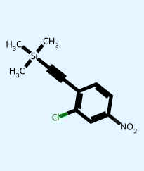 C[Si](C)(C)C#Cc1ccc([N+](=O)[O-])cc1Cl